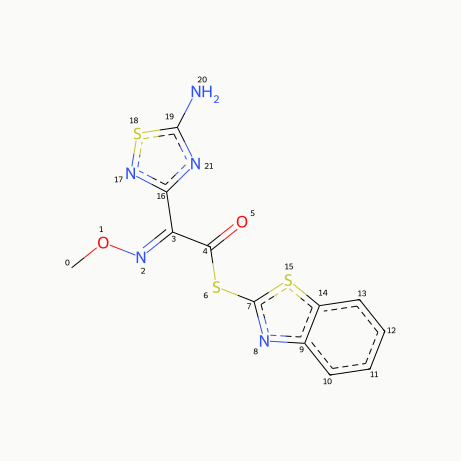 CON=C(C(=O)Sc1nc2ccccc2s1)c1nsc(N)n1